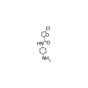 Nc1ccc(NC(=O)c2ccc(Cl)o2)cc1